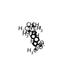 COc1ccc2c(c1[N+](=O)[O-])CC[C@@H]1[C@@H]2CC[C@]2(C)[C@@H](C(=O)N(C(C)C)C(C)C)CC[C@@H]12